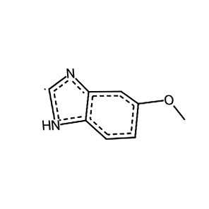 COc1ccc2[nH][c]nc2c1